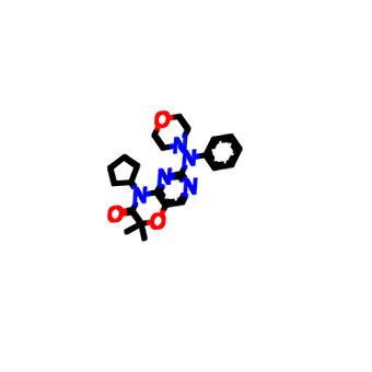 CC1(C)Oc2cnc(N(c3ccccc3)N3CCOCC3)nc2N(C2CCCC2)C1=O